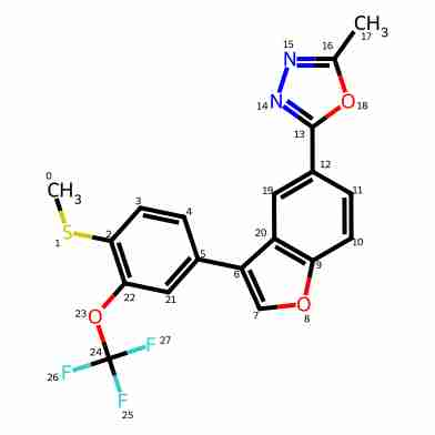 CSc1ccc(-c2coc3ccc(-c4nnc(C)o4)cc23)cc1OC(F)(F)F